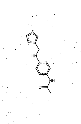 CC(=O)Nc1ccc(NCc2ccsc2)cc1